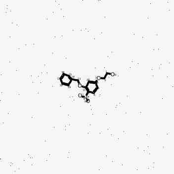 [O]CCOc1ccc([N+](=O)[O-])c(OCc2ccccc2)c1